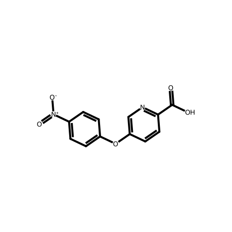 O=C(O)c1ccc(Oc2ccc([N+](=O)[O-])cc2)cn1